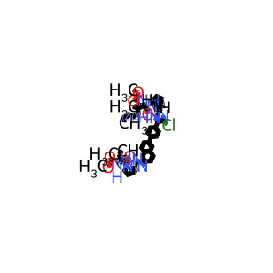 C=C(/C=C\C=C/C)[C@@H](NC(=O)OC)C(=O)N1[C@@H]2CC[C@@H](C2)[C@H]1c1nc(Cl)c(-c2ccc(-c3ccc4c(ccc5nc([C@@H]6CCCN6C(=O)[C@@H](NC(=O)OC)C(C)C)[nH]c54)c3)cc2)[nH]1